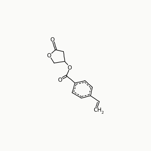 C=Cc1ccc(C(=O)OC2COC(=O)C2)cc1